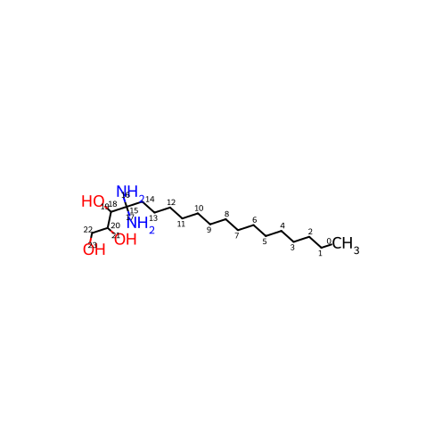 CCCCCCCCCCCCCCCC(N)(N)C(O)C(O)CO